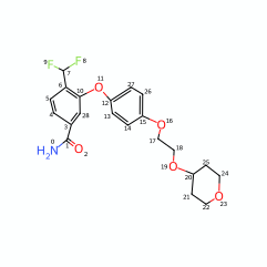 NC(=O)c1ccc(C(F)F)c(Oc2ccc(OCCOC3CCOCC3)cc2)c1